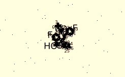 CC(C)(C)OC(=O)N1c2cc(F)cc(C(=O)O)c2C(O[Si](C)(C)C(C)(C)C)=CC1c1ccc(F)cc1